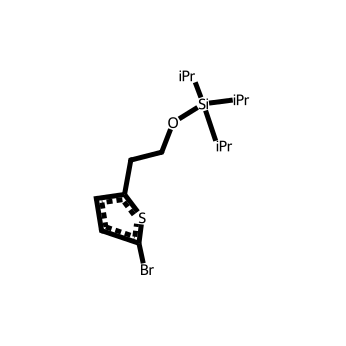 CC(C)[Si](OCCc1ccc(Br)s1)(C(C)C)C(C)C